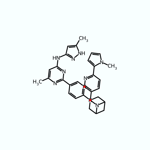 Cc1cc(Nc2cc(C)[nH]n2)nc(-c2ccc(N3CC4CC(C3)N4Cc3ccc(-c4cccn4C)nc3)nc2)n1